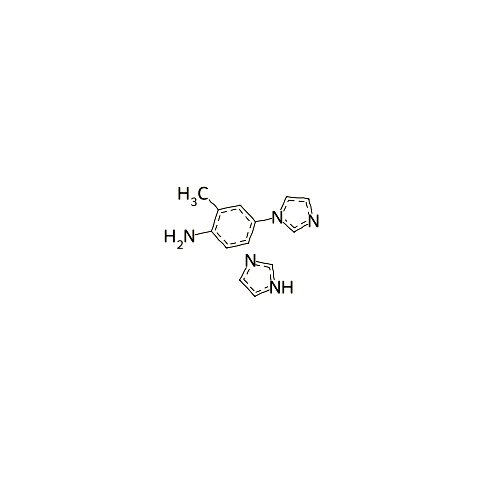 Cc1cc(-n2ccnc2)ccc1N.c1c[nH]cn1